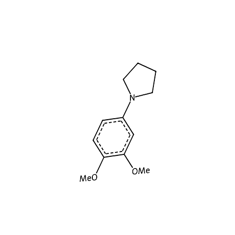 COc1ccc(N2CCCC2)cc1OC